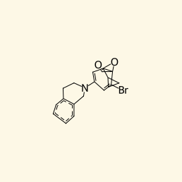 O=CC12OC1(C1CC1)C=C(N1CCc3ccccc3C1)C=C2Br